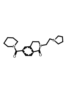 O=C(c1ccc2c(c1)CCN(CCN1CCCC1)C2=O)N1CCCCC1